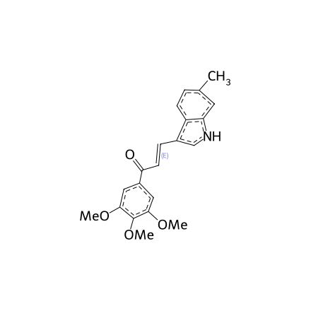 COc1cc(C(=O)/C=C/c2c[nH]c3cc(C)ccc23)cc(OC)c1OC